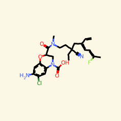 C=CC(=CC=C(C)F)CC(C#N)(CC)CCN(C)C(=O)C1CN(C(=O)O)c2cc(Cl)c(N)cc2O1